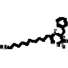 CCCCCCCCCCCC(=O)N[C@@H](Cc1ccccc1)C(N)=O